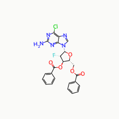 Nc1nc(Cl)c2ncn([C@@H]3O[C@H](COC(=O)c4ccccc4)[C@@H](OC(=O)c4ccccc4)[C@@H]3F)c2n1